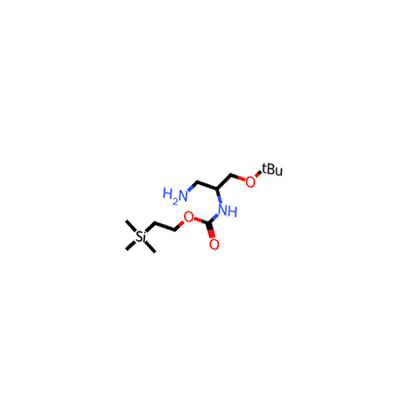 CC(C)(C)OCC(CN)NC(=O)OCC[Si](C)(C)C